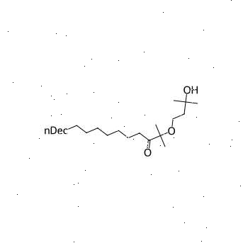 CCCCCCCCCCCCCCCCCC(=O)C(C)(C)OCCC(C)(C)O